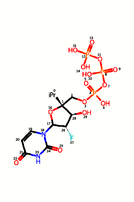 CC(C)[C@]1(COP(=O)(O)OP(=O)(O)OP(=O)(O)O)OC(n2ccc(=O)[nH]c2=O)[C@@H](F)[C@@H]1O